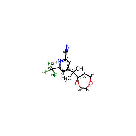 CC(C)(c1cc(C#N)nc(C(F)(F)F)c1)C1CCOCCO1